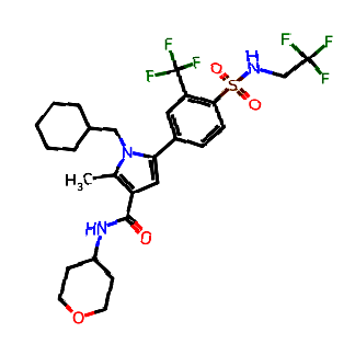 Cc1c(C(=O)NC2CCOCC2)cc(-c2ccc(S(=O)(=O)NCC(F)(F)F)c(C(F)(F)F)c2)n1CC1CCCCC1